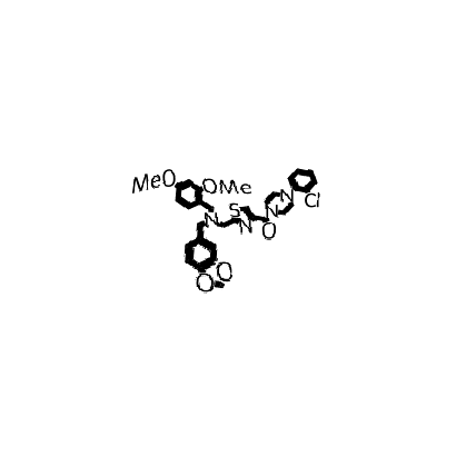 COc1ccc(CN(Cc2ccc3c(c2)OCO3)Cc2nc(C(=O)N3CCN(c4ccccc4Cl)CC3)cs2)c(OC)c1